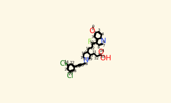 COc1ccc2nccc([C@@H](F)CCC3CCN(CC#Cc4cc(Cl)cc(Cl)c4)CC3CCC(=O)O)c2c1